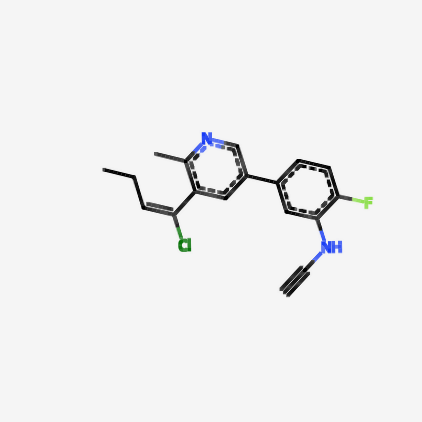 C#CNc1cc(-c2cnc(C)c(/C(Cl)=C\CC)c2)ccc1F